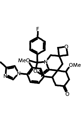 COc1cc(C2CC(=O)CC(OC)C23CC2(COC2)CN2C3=NOC2(C)c2ccc(F)cc2)ccc1-n1cnc(C)c1